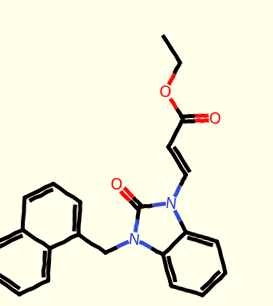 CCOC(=O)C=Cn1c(=O)n(Cc2cccc3ccccc23)c2ccccc21